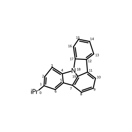 CC(C)c1ccc2c(c1)c1cccc3c4ccccc4n2c31